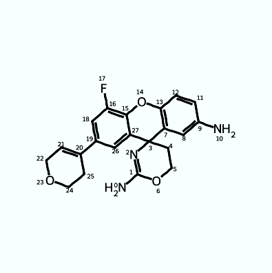 NC1=NC2(CCO1)c1cc(N)ccc1Oc1c(F)cc(C3=CCOCC3)cc12